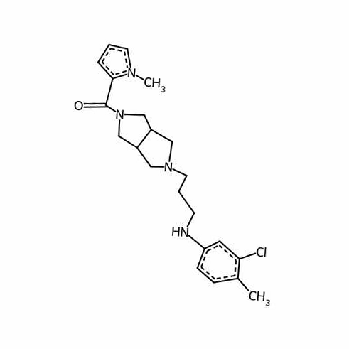 Cc1ccc(NCCCN2CC3CN(C(=O)c4cccn4C)CC3C2)cc1Cl